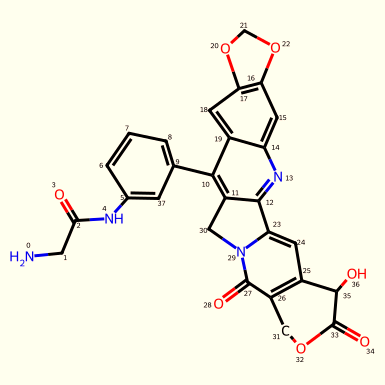 NCC(=O)Nc1cccc(-c2c3c(nc4cc5c(cc24)OCO5)-c2cc4c(c(=O)n2C3)COC(=O)C4O)c1